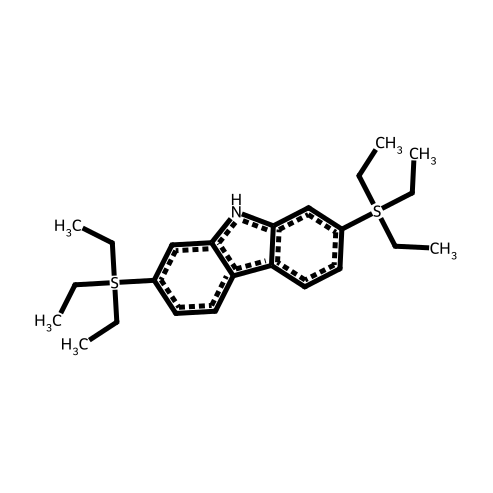 CCS(CC)(CC)c1ccc2c(c1)[nH]c1cc(S(CC)(CC)CC)ccc12